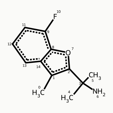 Cc1c(C(C)(C)N)oc2c(F)cccc12